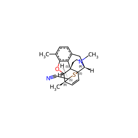 Cc1ccc2c3c1O[C@H]1[C@@]4(C)C=C[C@@]5(S[C@@H]4C#N)[C@@H](C2)N(C)CC[C@]315